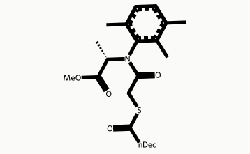 CCCCCCCCCCC(=O)SCC(=O)N(c1c(C)ccc(C)c1C)[C@@H](C)C(=O)OC